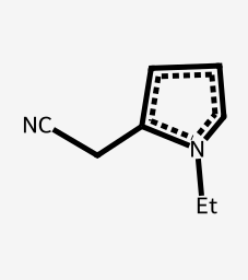 CCn1cccc1CC#N